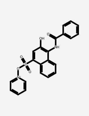 O=C(Nc1c(O)cc(S(=O)(=O)O[n+]2ccccc2)c2ccccc12)c1ccccc1